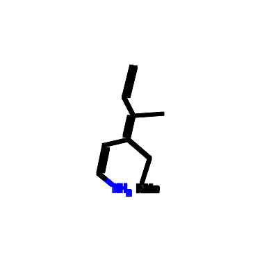 C=C/C(C)=C(\C=C/N)CNC